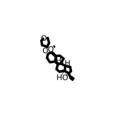 C#C[C@]1(O)CC[C@H]2[C@@H]3CCC4=CC(OC5(OC)CCOCC5)CCC4=C3CC[C@@]21C